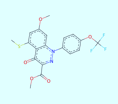 COC(=O)c1nn(-c2ccc(OC(F)(F)F)cc2)c2cc(OC)cc(SC)c2c1=O